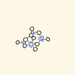 c1ccc(-c2nc(-c3ccccc3)nc(-c3cccc(-n4c5ccccc5c5cc(-c6ccc7c(c6)c6c(-c8nc(-c9ccccc9)nc(-c9ccccc9)n8)cccc6n7-c6ccccc6)ccc54)c3)n2)cc1